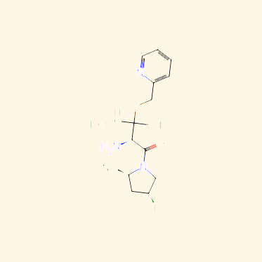 CC(C)(SCc1ccccn1)[C@H](N)C(=O)N1C[C@@H](F)C[C@H]1C#N.Cl